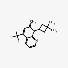 C=C1C=C(C(F)(F)F)c2cccnc2N1C1CC(C)(C)C1